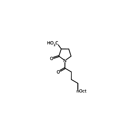 CCCCCCCCCCCC(=O)N1CCC(C(=O)O)C1=O